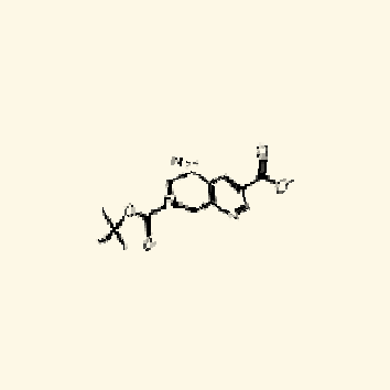 CC(C)(C)OC(=O)N1CCc2cc(C(=O)[O-])cnc2C1.[Na+]